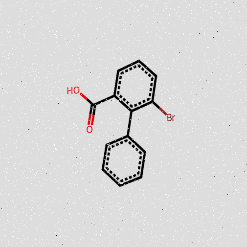 O=C(O)c1cccc(Br)c1-c1ccccc1